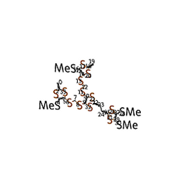 C=C1SC(SC)=C(SCSC2=C(SCSC3=C(SC)SC(=C)S3)SC(=CC=C3SC(SC)=C(SC)S3)S2)S1